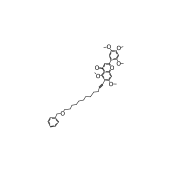 COc1cc(OC)c(-c2cc(=O)c3c(OC)c(C#CCCCCCCCCCCOCc4ccccc4)c(OC)cc3o2)cc1OC